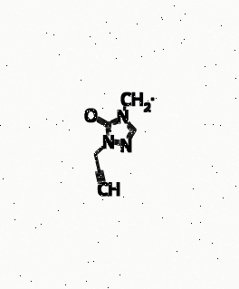 C#CCn1ncn([CH2])c1=O